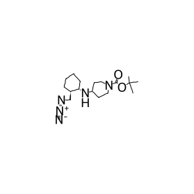 CC(C)(C)OC(=O)N1CCC(N[C@H]2CCCC[C@@H]2CN=[N+]=[N-])CC1